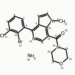 Cn1ccc2c(-c3cccc(Cl)c3Br)ncc(C(=O)N3CCOCC3)c21.N